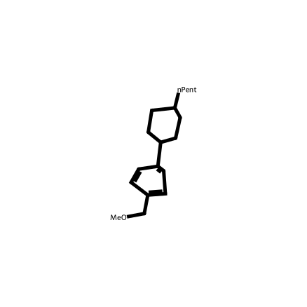 CCCCCC1CCC(c2ccc(COC)cc2)CC1